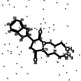 CCCCOC(=O)C(CC(=O)SCCCC)c1nc2ccccc2s1